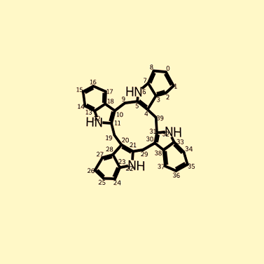 c1ccc2c3c([nH]c2c1)Cc1c([nH]c2ccccc12)Cc1c([nH]c2ccccc12)Cc1c([nH]c2ccccc12)C3